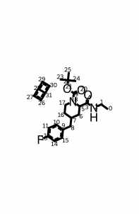 CCNC(=O)C1CC(Cc2ccc(F)cc2)CCN1C(=O)OC(C)(C)C.c1cc2ccc1-2